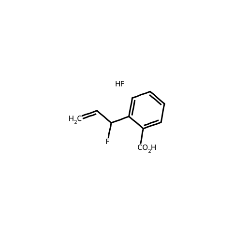 C=CC(F)c1ccccc1C(=O)O.F